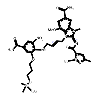 CCn1nc(C)cc1C(=O)/N=c1/n(C)c2cc(C(N)=O)cc(OC)c2n1C/C=C/CNc1c(OCCCO[Si](C)(C)C(C)(C)C)cc(C(N)=O)cc1[N+](=O)[O-]